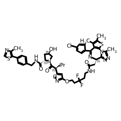 Cc1ncsc1-c1ccc(CNC(=O)[C@@H]2C[C@@H](O)CN2C(=O)[C@H](c2cc(OCCC(F)(F)CCNC(=O)C[C@@H]3N=C(c4ccc(Cl)cc4)c4c(sc(C)c4C)-n4c(C)nnc43)no2)C(C)C)cc1